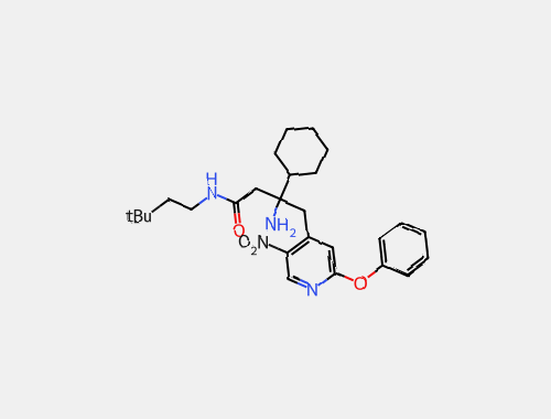 CC(C)(C)CCNC(=O)CC(N)(Cc1cc(Oc2ccccc2)ncc1[N+](=O)[O-])C1CCCCC1